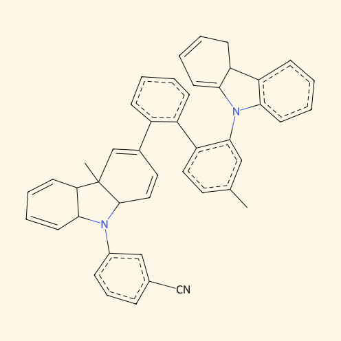 Cc1ccc(-c2ccccc2C2=CC3(C)C4C=CC=CC4N(c4cccc(C#N)c4)C3C=C2)c(N2C3=CC=CCC3c3ccccc32)c1